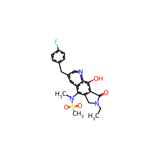 CCN1Cc2c(c(O)c3ncc(Cc4ccc(F)cc4)cc3c2N(C)S(C)(=O)=O)C1=O